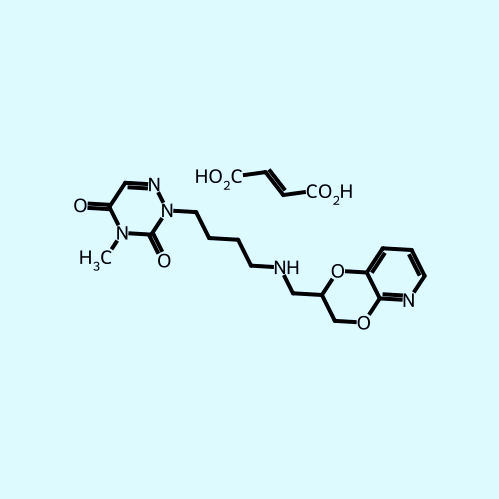 Cn1c(=O)cnn(CCCCNCC2COc3ncccc3O2)c1=O.O=C(O)C=CC(=O)O